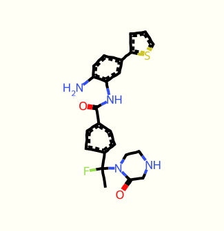 CC(F)(c1ccc(C(=O)Nc2cc(-c3cccs3)ccc2N)cc1)N1CCNCC1=O